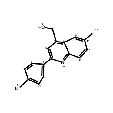 OCc1cc(-c2ccc(Br)cc2)nc2ccc(F)cc12